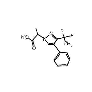 CC(C(=O)O)n1cc(-c2ccccc2)c(C(F)(F)P)n1